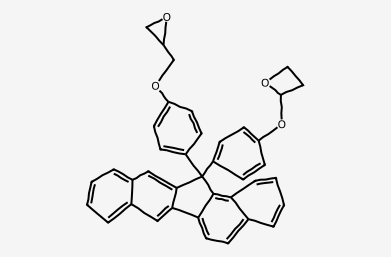 c1ccc2cc3c(cc2c1)-c1ccc2ccccc2c1C3(c1ccc(OCC2CO2)cc1)c1ccc(OC2CCO2)cc1